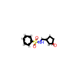 O=C1CCC(CNS(=O)(=O)c2ccccc2)C1